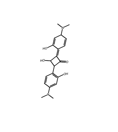 CN(C)c1ccc(C2C(=O)C(=C3C=CC(N(C)C)C=C3O)C2O)c(O)c1